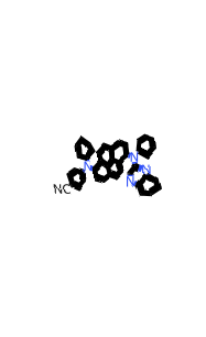 N#Cc1ccc(N(c2ccccc2)c2ccc3ccc4c(N(c5ccccc5)c5cnc6ccccc6n5)ccc5ccc2c3c54)cc1